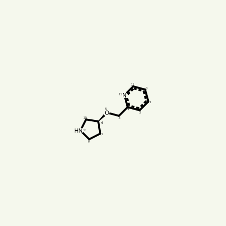 c1ccc(CO[C@H]2CCNC2)nc1